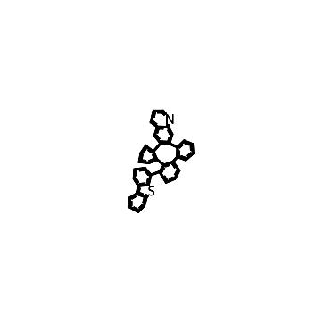 c1ccc2c(c1)-c1cc3ncccc3cc1-c1ccccc1-c1c-2cccc1-c1cccc2c1sc1ccccc12